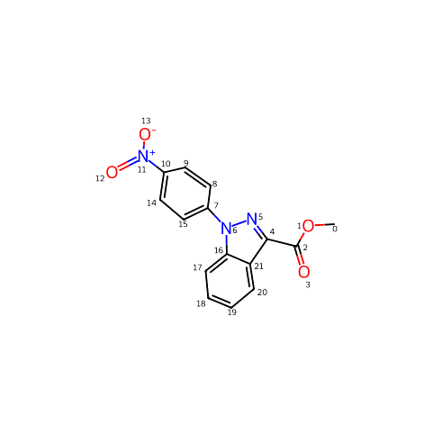 COC(=O)c1nn(-c2ccc([N+](=O)[O-])cc2)c2ccccc12